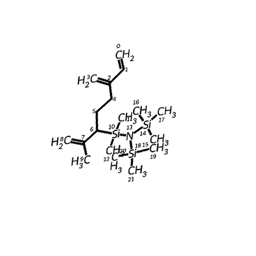 C=CC(=C)CCC(C(=C)C)[Si](C)(C)N([Si](C)(C)C)[Si](C)(C)C